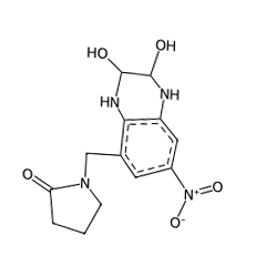 O=C1CCCN1Cc1cc([N+](=O)[O-])cc2c1NC(O)C(O)N2